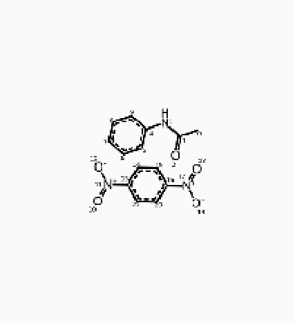 CC(=O)Nc1ccccc1.O=[N+]([O-])c1ccc([N+](=O)[O-])cc1